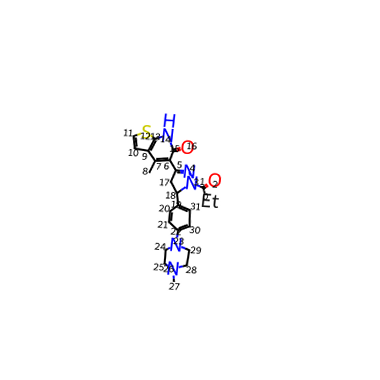 CCC(=O)N1N=C(c2c(C)c3ccsc3[nH]c2=O)CC1c1ccc(N2CCN(C)CC2)cc1